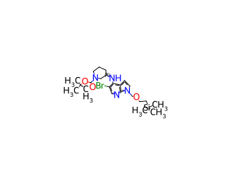 CC(C)(C)OC(=O)N1CCC[C@@H](Nc2c(Br)cnc3c2ccn3COCC[Si](C)(C)C)C1